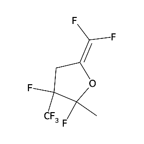 CC1(F)OC(=C(F)F)CC1(F)C(F)(F)F